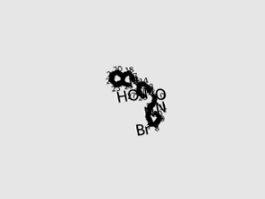 O=C(c1cn2cc(Br)ccc2n1)N1CC[C@H](N2CCc3ccccc3C2)[C@@H](O)C1